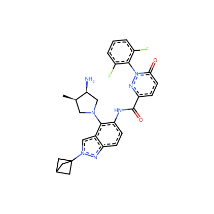 C[C@@H]1CN(c2c(NC(=O)c3ccc(=O)n(-c4c(F)cccc4F)n3)ccc3nn(C45CC(C4)C5)cc23)C[C@@H]1N